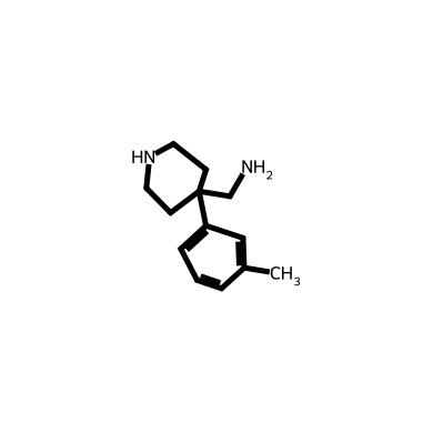 Cc1cccc(C2(CN)CCNCC2)c1